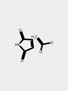 C=C(Cl)Cl.O=C1C=CC(=O)N1